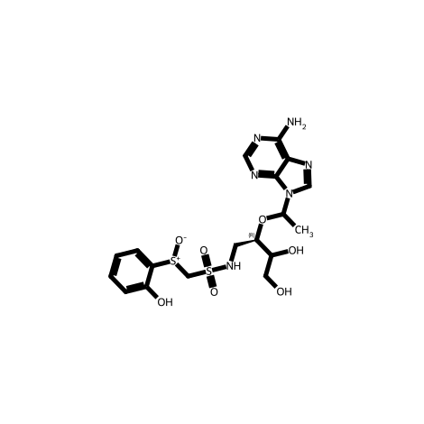 CC(O[C@H](CNS(=O)(=O)C[S+]([O-])c1ccccc1O)C(O)CO)n1cnc2c(N)ncnc21